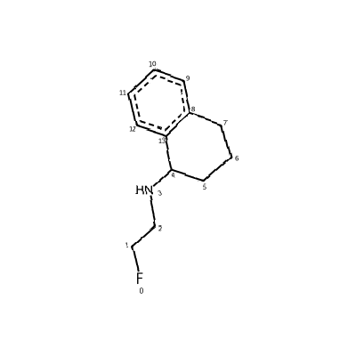 FCCNC1CCCc2ccccc21